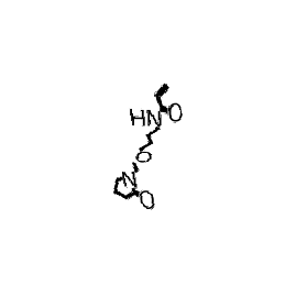 C=CC(=O)NCCCCOCCN1CCCC1=O